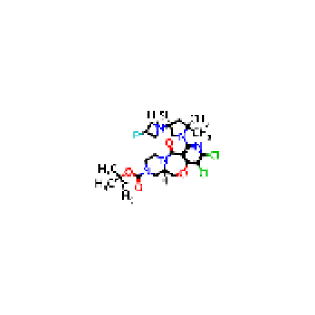 CC(C)(C)OC(=O)N1CCN2C(=O)c3c(N4C[C@@]([SiH3])(N5CC(F)C5)CC4(C)C)nc(Cl)c(Cl)c3OC[C@H]2C1